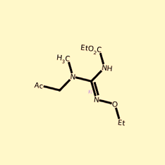 CCO/N=C(\NC(=O)OCC)N(C)CC(C)=O